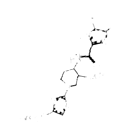 CCc1[nH]c(C(=O)NC2CCN(c3ncc(C(=O)O)s3)CC2OC)nc1Cl